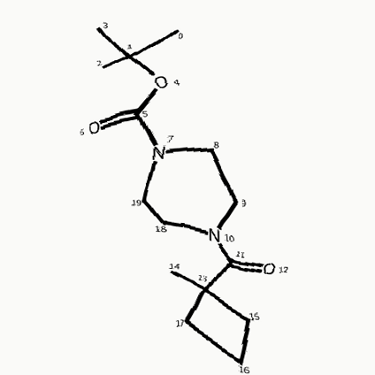 CC(C)(C)OC(=O)N1CCN(C(=O)C2(C)CCC2)CC1